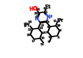 CCc1nc(C2CC(C)CCC2C(C)C)c(C2CC(C)CCC2C(C)C)nc1O